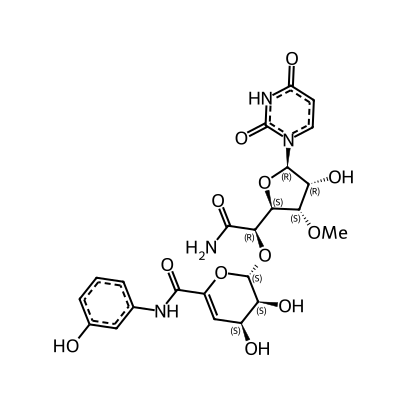 CO[C@H]1[C@@H](O)[C@H](n2ccc(=O)[nH]c2=O)O[C@@H]1[C@@H](O[C@H]1OC(C(=O)Nc2cccc(O)c2)=C[C@H](O)[C@@H]1O)C(N)=O